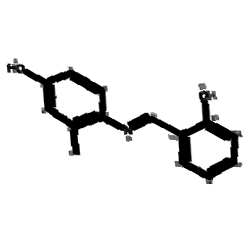 Cc1cc(O)ccc1/N=C/c1ccccc1O